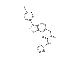 C=C(Cc1ccc2c(cnn2-c2ccc(F)cc2)c1)C(=O)Nc1nccs1